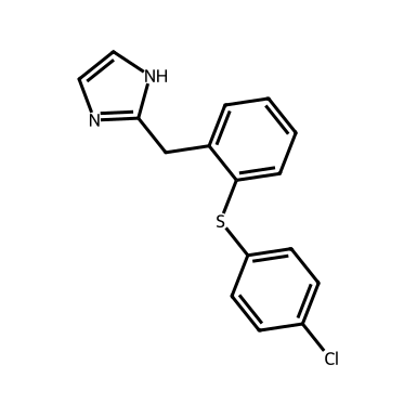 Clc1ccc(Sc2ccccc2Cc2ncc[nH]2)cc1